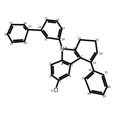 Clc1ccc2c(c1)c1c(n2-c2cccc(-c3ccccc3)c2)CCC=C1c1ccccc1